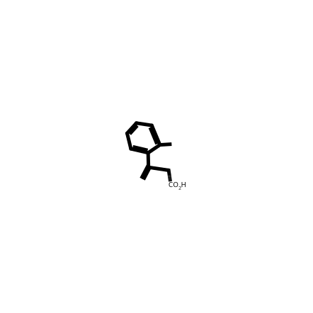 C=C(CC(=O)O)c1ccccc1C